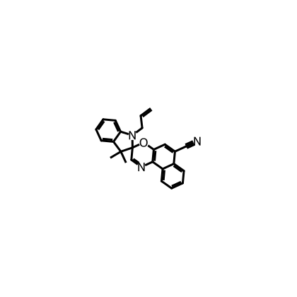 C=CCN1c2ccccc2C(C)(C)C12C=Nc1c(cc(C#N)c3ccccc13)O2